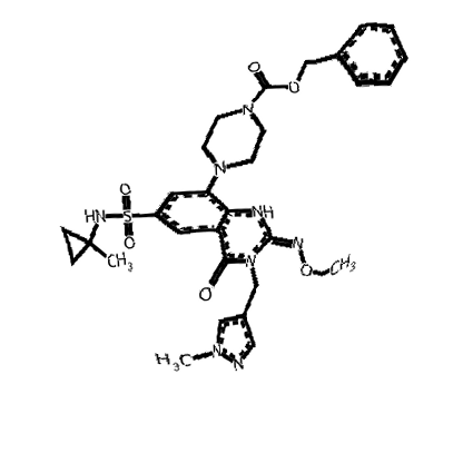 CON=c1[nH]c2c(N3CCN(C(=O)OCc4ccccc4)CC3)cc(S(=O)(=O)NC3(C)CC3)cc2c(=O)n1Cc1cnn(C)c1